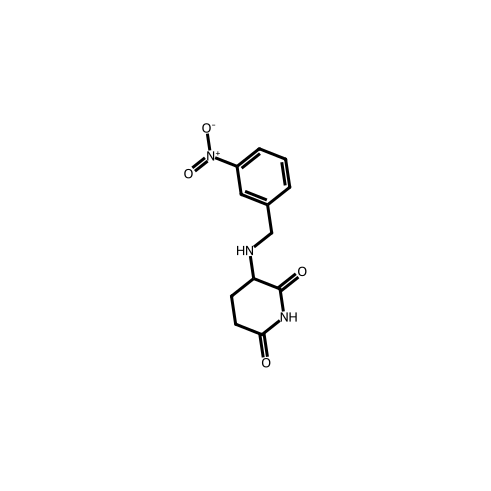 O=C1CCC(NCc2cccc([N+](=O)[O-])c2)C(=O)N1